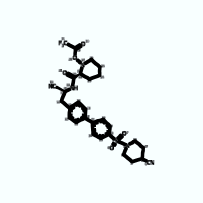 N#CC1CCN(S(=O)(=O)c2ccc(-c3ccc(C[C@@H](C#N)NC(=O)[C@@H]4CCCCN4OC(=O)C(F)(F)F)cc3)cc2)CC1